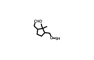 CC1(C)C(CC=O)CCC1COS